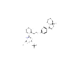 CSC(=O)/N=C(\NC(=O)OC(C)(C)C)N1CCCCC1CCOc1ccc([C@H]2CC[C@H]3CCCCN32)cc1